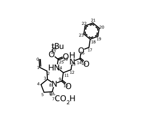 C=CCC1CC[C@@H](C(=O)O)N1C(=O)C(CNC(=O)OCc1ccccc1)NC(=O)OC(C)(C)C